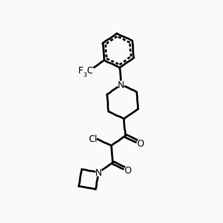 O=C(C1CCN(c2ccccc2C(F)(F)F)CC1)C(Cl)C(=O)N1CCC1